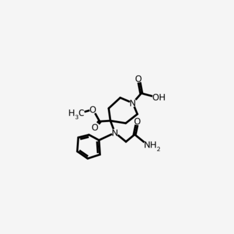 COC(=O)C1(N(CC(N)=O)c2ccccc2)CCN(C(=O)O)CC1